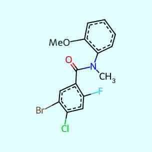 COc1ccccc1N(C)C(=O)c1cc(Br)c(Cl)cc1F